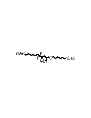 C=C(CC(CO)COCCCCCCCCCCCCCCCC)C(F)(F)CCCCCCCCCCCCCCCC